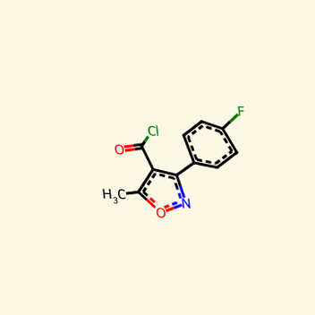 Cc1onc(-c2ccc(F)cc2)c1C(=O)Cl